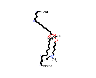 C#CCN(C)CCCCCCO[Si](C)(C)OC(CCCCCCC/C=C\C/C=C\CCCCC)OCCCCCCCC/C=C\C/C=C\CCCCC